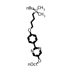 CCCCCCCCOc1cnc(-c2ccc(OCCCC[Si](C)(C)CCCC)cc2)nc1